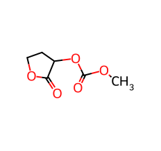 COC(=O)OC1CCOC1=O